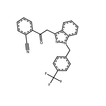 N#Cc1ccccc1C(=O)Cc1nn(Cc2ccc(C(F)(F)F)cc2)c2ccccc12